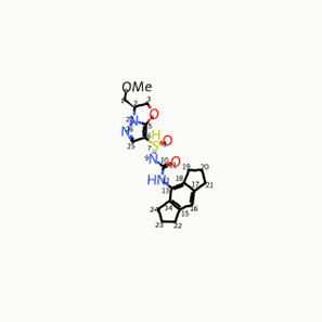 COC[C@H]1COc2c([SH](=O)=NC(=O)Nc3c4c(cc5c3CCC5)CCC4)cnn21